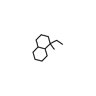 CCC1(C)CCCC2CCCCC21